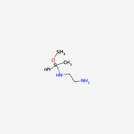 CCC[Si](C)(NCCN)O[SiH3]